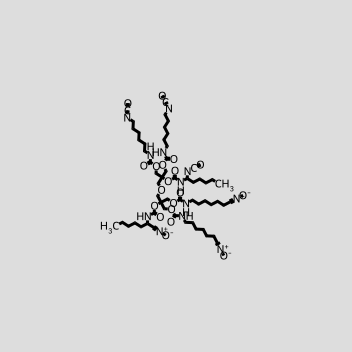 CCCCCC(C#[N+][O-])NC(=O)OC(COCC(COC(=O)NCCCCCCN=C=O)(COC(=O)NCCCCCCN=C=O)OC(=O)NC(CCCCC)N=C=O)(COC(=O)NCCCCCCC#[N+][O-])COC(=O)NCCCCCCC#[N+][O-]